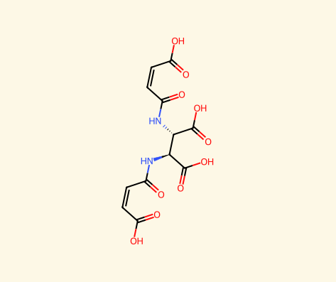 O=C(O)/C=C\C(=O)N[C@H](C(=O)O)[C@H](NC(=O)/C=C\C(=O)O)C(=O)O